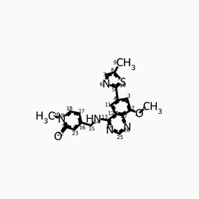 COc1cc(-c2ncc(C)s2)cc2c(NCc3ccn(C)c(=O)c3)ncnc12